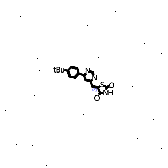 CC(C)(C)c1ccc(-c2cc(/C=C3\SC(=O)NC3=O)ncn2)cc1